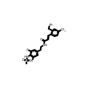 CC(C)Cc1cc(C(F)(F)F)ccc1C=CC(=O)NCCc1cc(F)c(NS(C)(=O)=O)c(F)c1